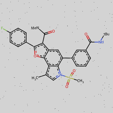 CNC(=O)c1c(-c2ccc(F)cc2)oc2c1cc(-c1cccc(C(=O)NC(C)(C)C)c1)c1c2c(C)cn1S(C)(=O)=O